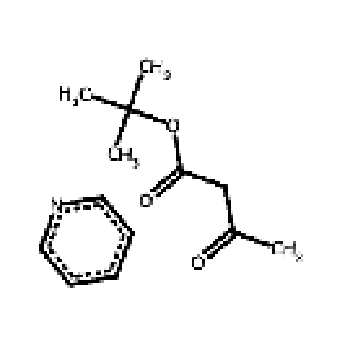 CC(=O)CC(=O)OC(C)(C)C.c1ccncc1